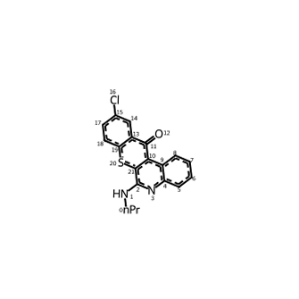 CCCNc1nc2ccccc2c2c(=O)c3cc(Cl)ccc3sc12